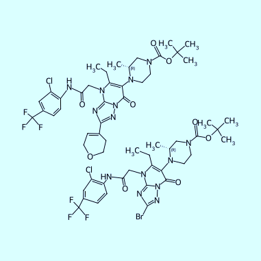 CCc1c(N2CCN(C(=O)OC(C)(C)C)C[C@H]2C)c(=O)n2nc(Br)nc2n1CC(=O)Nc1ccc(C(F)(F)F)cc1Cl.CCc1c(N2CCN(C(=O)OC(C)(C)C)C[C@H]2C)c(=O)n2nc(C3=CCOCC3)nc2n1CC(=O)Nc1ccc(C(F)(F)F)cc1Cl